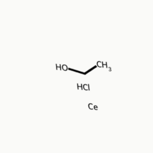 CCO.Cl.[Ce]